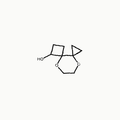 OC1CCC12OCCOC21CC1